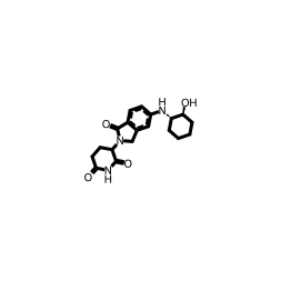 O=C1CCC(N2Cc3cc(N[C@H]4CCCC[C@@H]4O)ccc3C2=O)C(=O)N1